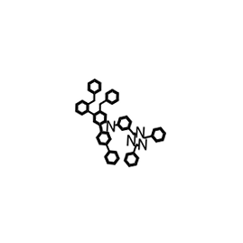 c1ccc(Cc2ccccc2-c2cc3c4ccc(-c5ccccc5)cc4n(-c4cccc(-c5nc(-c6ccccc6)nc(-c6ccccc6)n5)c4)c3cc2Cc2ccccc2)cc1